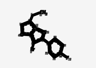 CCc1coc2c(Br)c(-c3ccc(F)cc3)nn12